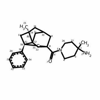 CC1(N)CCN(C(=O)C23CC4CC5(C2)[C@](C)(C4)C[C@@]5(c2ccccc2)C3)CC1